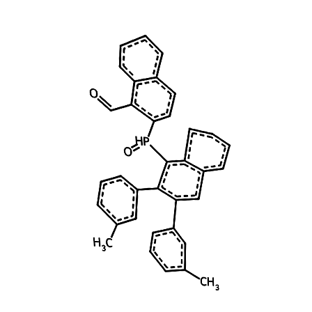 Cc1cccc(-c2cc3ccccc3c([PH](=O)c3ccc4ccccc4c3C=O)c2-c2cccc(C)c2)c1